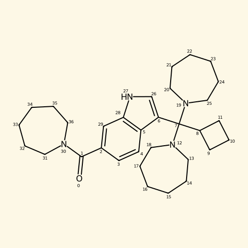 O=C(c1ccc2c(C(C3CCC3)(N3CCCCCC3)N3CCCCCC3)c[nH]c2c1)N1CCCCCC1